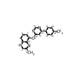 Cc1cnc2cccc(Oc3cc(-c4ccc(C(F)(F)F)cc4)ncn3)c2n1